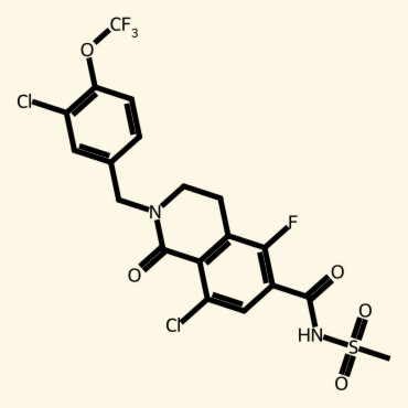 CS(=O)(=O)NC(=O)c1cc(Cl)c2c(c1F)CCN(Cc1ccc(OC(F)(F)F)c(Cl)c1)C2=O